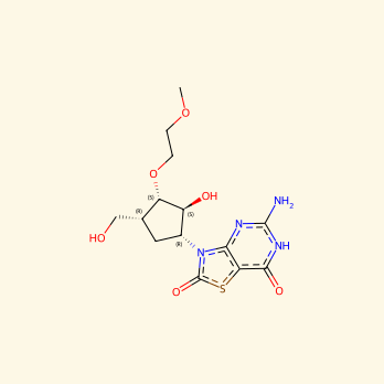 COCCO[C@H]1[C@@H](CO)C[C@@H](n2c(=O)sc3c(=O)[nH]c(N)nc32)[C@@H]1O